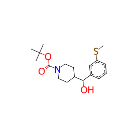 CSc1cccc(C(O)C2CCN(C(=O)OC(C)(C)C)CC2)c1